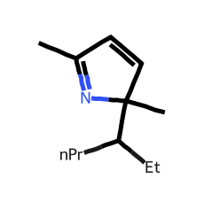 CCCC(CC)C1(C)C=CC(C)=N1